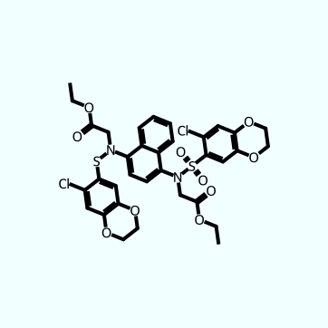 CCOC(=O)CN(Sc1cc2c(cc1Cl)OCCO2)c1ccc(N(CC(=O)OCC)S(=O)(=O)c2cc3c(cc2Cl)OCCO3)c2ccccc12